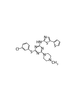 CN1CCN(c2nc(Nc3ncc(-c4cccs4)s3)nc(Sc3cccc(Cl)c3)n2)CC1